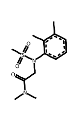 Cc1cccc(N(CC(=O)N(C)C)S(C)(=O)=O)c1C